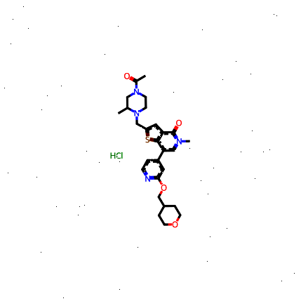 CC(=O)N1CCN(Cc2cc3c(=O)n(C)cc(-c4ccnc(OCC5CCOCC5)c4)c3s2)C(C)C1.Cl